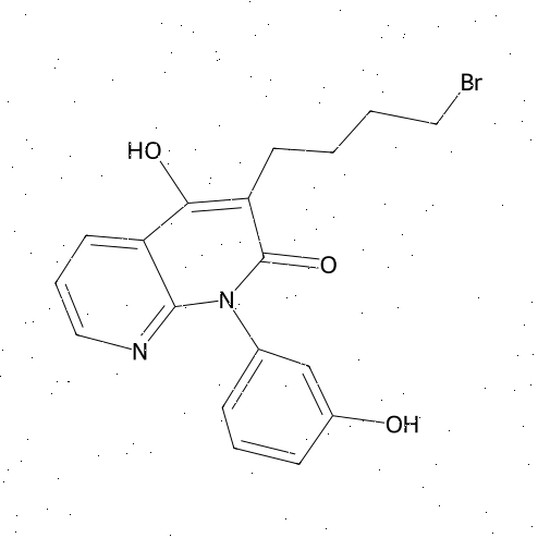 O=c1c(CCCCBr)c(O)c2cccnc2n1-c1cccc(O)c1